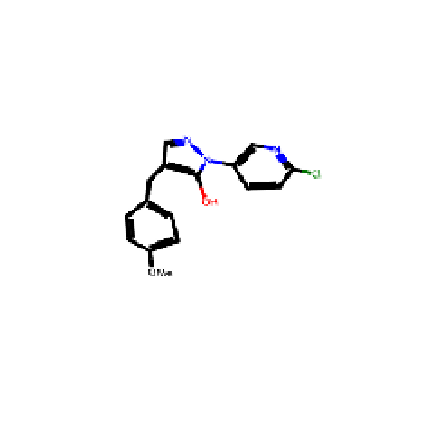 COc1ccc(Cc2cnn(-c3ccc(Cl)nc3)c2O)cc1